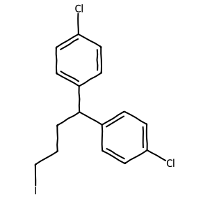 Clc1ccc(C(CCCI)c2ccc(Cl)cc2)cc1